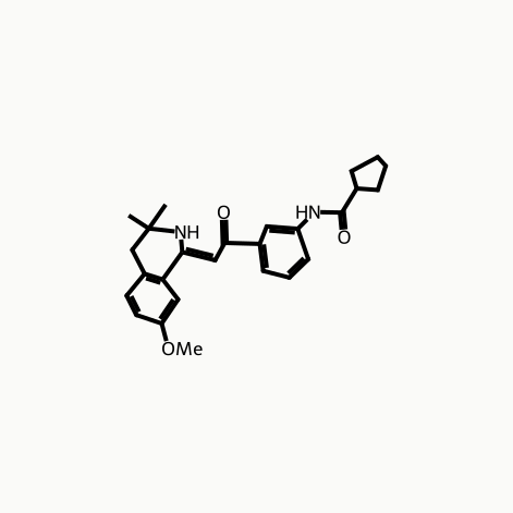 COc1ccc2c(c1)C(=CC(=O)c1cccc(NC(=O)C3CCCC3)c1)NC(C)(C)C2